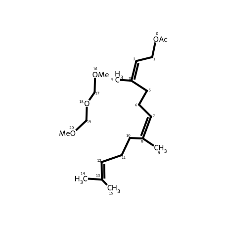 CC(=O)OCC=C(C)CCC=C(C)CCC=C(C)C.COCOCOC